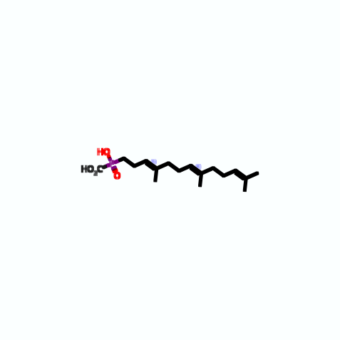 CC(C)=CCC/C(C)=C/CC/C(C)=C/CCP(=O)(O)C(=O)O